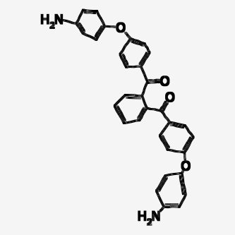 Nc1ccc(Oc2ccc(C(=O)c3ccccc3C(=O)c3ccc(Oc4ccc(N)cc4)cc3)cc2)cc1